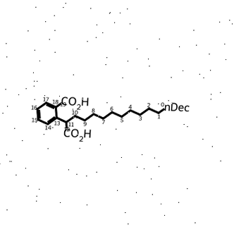 CCCCCCCCCCCCCCCCCCCCC(C(=O)O)c1ccccc1C(=O)O